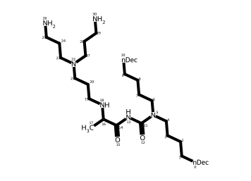 CCCCCCCCCCCCCCN(CCCCCCCCCCCCCC)C(=O)NC(=O)C(C)NCCCN(CCCN)CCCN